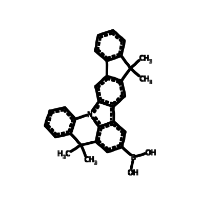 CC1(C)c2ccccc2-c2cc3c(cc21)c1cc(B(O)O)cc2c1n3-c1ccccc1C2(C)C